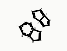 C1=CC2=CC=CC2=C1.C1=Cc2ccccc2C1